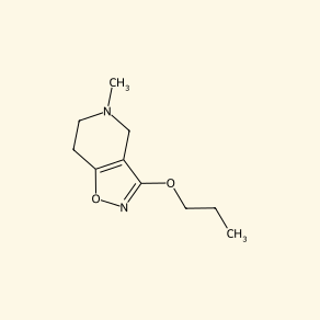 CCCOc1noc2c1CN(C)CC2